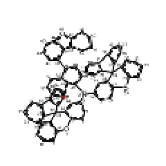 c1ccc2c(c1)Oc1ccc(N(c3ccc4c(c3)C3(c5ccccc5S4)c4ccccc4-c4ccccc43)c3ccc(-c4cccc5oc6ccccc6c45)c4ccccc34)cc1C21c2ccccc2-c2ccccc21